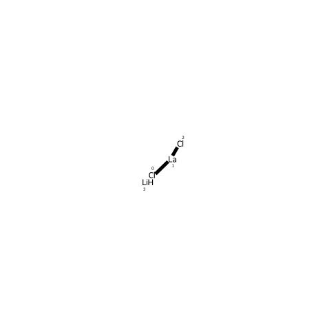 [Cl][La][Cl].[LiH]